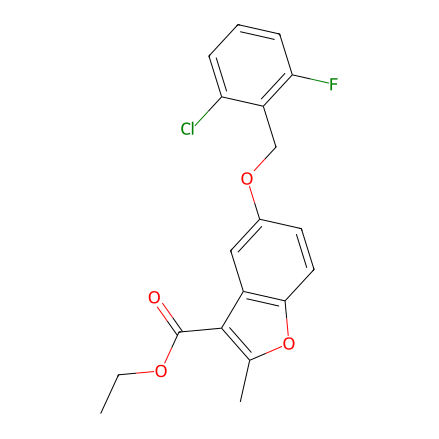 CCOC(=O)c1c(C)oc2ccc(OCc3c(F)cccc3Cl)cc12